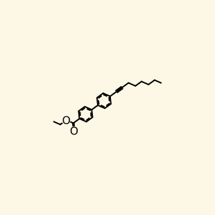 CCCCCCC#Cc1ccc(-c2ccc(C(=O)OCC)cc2)cc1